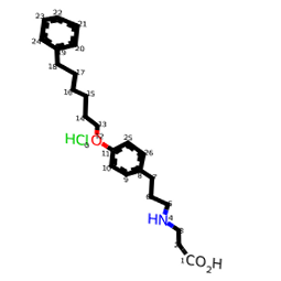 Cl.O=C(O)CCNCCCc1ccc(OCCCCCCc2ccccc2)cc1